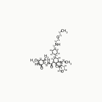 CCCOCCNCc1ccc(-c2cc(C(=O)NCc3c(C)cc(C)[nH]c3=O)c(C)c(N(CC)C3CCOCC3)c2)cc1